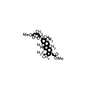 C=C(C)[C@@H]1CC[C@]2(CCC(=O)OC)CC[C@]3(C)C(CCC4[C@@]5(C)CC[C@H](OC(=O)CC(C)(C)CC(=O)OC)C(C)(C)C5CC[C@]43C)C12